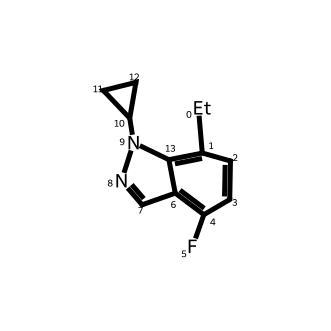 CCc1ccc(F)c2cnn(C3CC3)c12